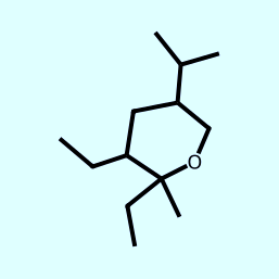 CCC1CC(C(C)C)COC1(C)CC